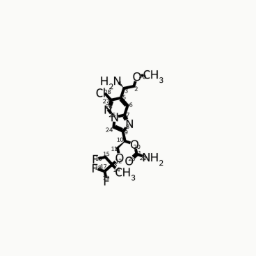 COC[C@@H](N)c1cc2nc([C@H](COC(C)(CF)C(F)F)OC(N)=O)cn2nc1Cl